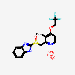 Cc1c(OCC(F)(F)F)ccnc1C[S+]([O-])c1nc2ccccc2[nH]1.O.O.O